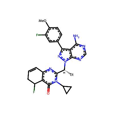 CC[C@H](c1nc2c(c(=O)n1C1CC1)C(F)CC=C2)n1nc(-c2ccc(OC)c(F)c2)c2c(N)ncnc21